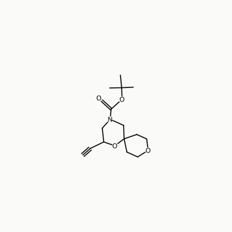 C#CC1CN(C(=O)OC(C)(C)C)CC2(CCOCC2)O1